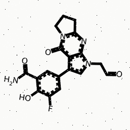 NC(=O)c1cc(-c2cn(CC=O)c3nc4n(c(=O)c23)CCC4)cc(F)c1O